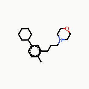 Cc1ccc(C2CCCCC2)cc1CCCN1CCOCC1